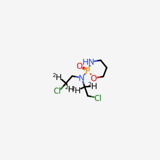 [2H]C([2H])(Cl)CN(C([2H])([2H])CCl)P1(=O)NCCCO1